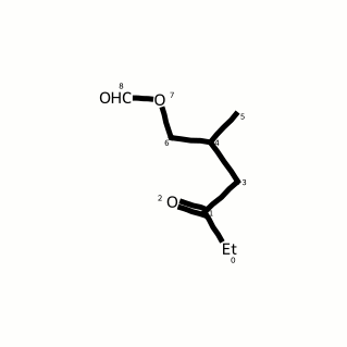 [CH2-][CH+]C(=O)CC(C)COC=O